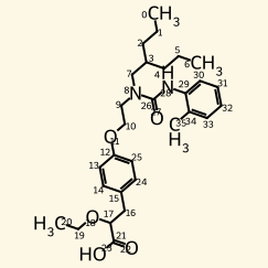 CCCC(CCC)CN(CCOc1ccc(CC(OCC)C(=O)O)cc1)C(=O)Nc1ccccc1C